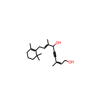 CC1=C(C/C=C(\C)C(O)C#C/C(C)=C\CO)C(C)(C)CCC1